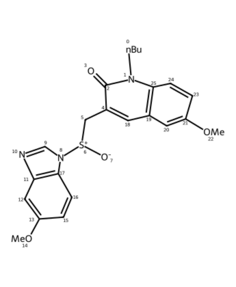 CCCCn1c(=O)c(C[S+]([O-])n2cnc3cc(OC)ccc32)cc2cc(OC)ccc21